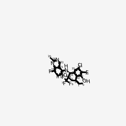 C/C=C1/C[C@@](O)(C(F)(F)F)[C@@H](Nc2ccc(F)c3nc(C)ncc23)c2cc(Cl)c(F)c(O)c21